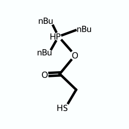 CCCC[PH](CCCC)(CCCC)OC(=O)CS